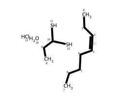 CC/C=C\CCCC.CCC(S)S.Cl.O